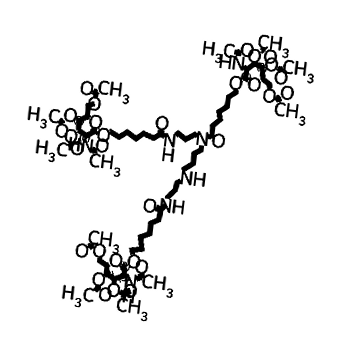 CC(=O)NC1C(OC(C)=O)[C@@H](OC(C)=O)C(COC(C)=O)O[C@H]1OCCCCCCC(=O)N(CCCCNCCCNC(=O)CCCCCCO[C@@H]1OC(COC(C)=O)[C@H](OC(C)=O)C(OC(C)=O)[C@@H]1NC(C)=O)CCCNC(=O)CCCCCCO[C@@H]1OC(COC(C)=O)[C@H](OC(C)=O)C(OC(C)=O)[C@H]1NC(C)=O